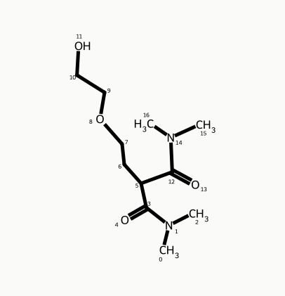 CN(C)C(=O)C(CCOCCO)C(=O)N(C)C